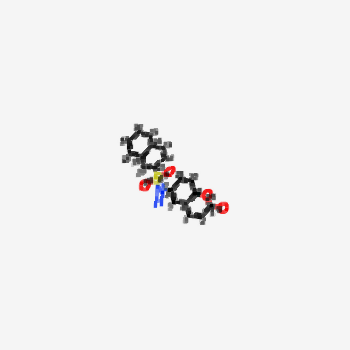 O=c1ccc2cc(NS(=O)(=O)c3ccc4ccccc4c3)ccc2o1